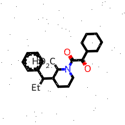 CCC(c1ccccc1)C1CCCN(C(=O)C(=O)C2CCCCC2)C1C(=O)O